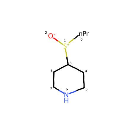 CCC[S+]([O-])C1CCNCC1